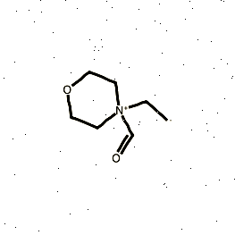 [CH2]C[N+]1(C=O)CCOCC1